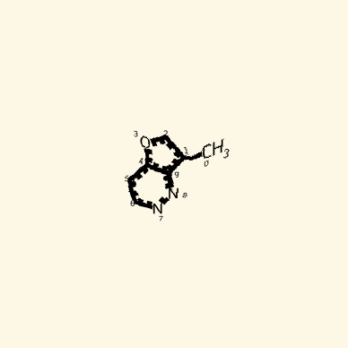 Cc1coc2ccnnc12